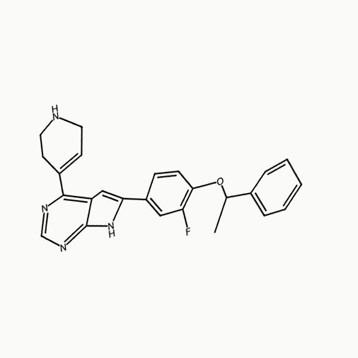 CC(Oc1ccc(-c2cc3c(C4=CCNCC4)ncnc3[nH]2)cc1F)c1ccccc1